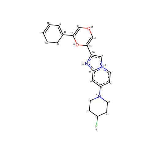 FC1CCN(c2ccn3cc(C4=COC=C(C5=CC=CCC5)O4)nc3c2)CC1